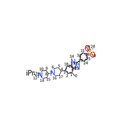 Cc1cc(C2CCN(C3CCN(CC(C)C)CC3)CC2)cc2c1nc(-c1ccc(S(C)(=O)=O)cc1)n2C